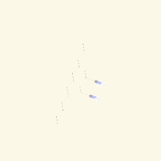 CC(C#N)OC(C)C#N.CCCCCCCCCCCCO